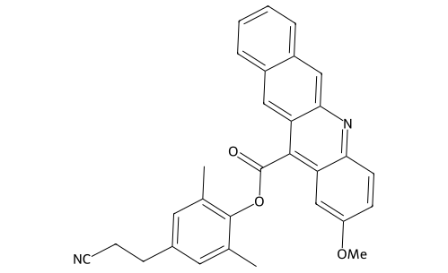 COc1ccc2nc3cc4ccccc4cc3c(C(=O)Oc3c(C)cc(CCC#N)cc3C)c2c1